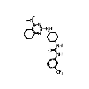 CN(C)c1nc(N[C@H]2CC[C@@H](NC(=O)Nc3cccc(C(F)(F)F)c3)CC2)nc2c1CCCC2